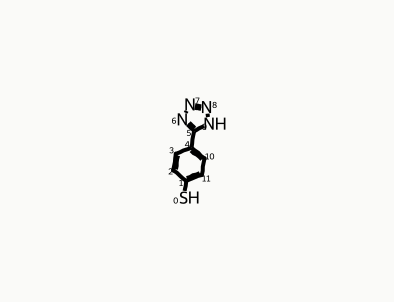 Sc1ccc(-c2nnn[nH]2)cc1